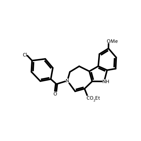 CCOC(=O)C1=CN(C(=O)c2ccc(Cl)cc2)CCc2c1[nH]c1ccc(OC)cc21